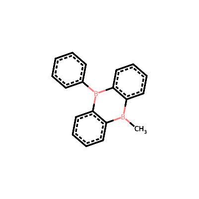 CB1c2ccccc2B(c2ccccc2)c2ccccc21